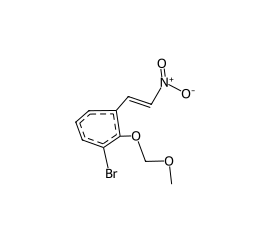 COCOc1c(Br)cccc1/C=C/[N+](=O)[O-]